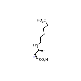 O=C(O)/C=C\C(=O)NCCCCCC(=O)O